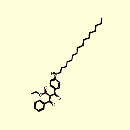 CCCCCCCCCCCCCCCCNc1ccc(C(=O)C(C(=O)OCC)C(=O)c2ccccc2)cc1